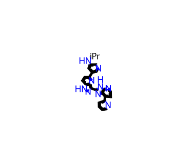 CC(C)Nc1cncc(-c2ccc3[nH]nc(-c4nc5c(-c6ccccn6)ccnc5[nH]4)c3n2)c1